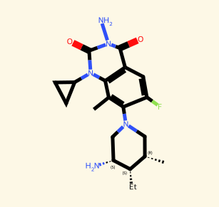 CC[C@@H]1[C@H](N)CN(c2c(F)cc3c(=O)n(N)c(=O)n(C4CC4)c3c2C)C[C@@H]1C